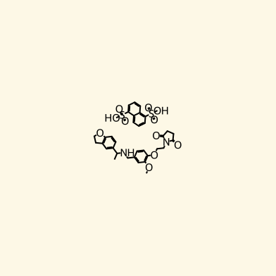 COc1cc(CNC(C)c2ccc3c(c2)CCO3)ccc1OCCN1C(=O)CCC1=O.O=S(=O)(O)c1cccc2c(S(=O)(=O)O)cccc12